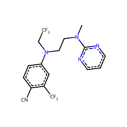 [C-]#[N+]c1ccc(N(CCN(C)c2ncccn2)CC(F)(F)F)cc1C(F)(F)F